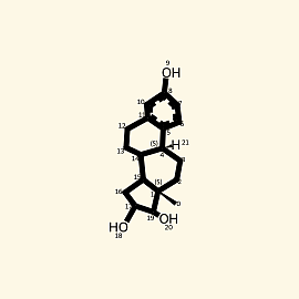 C[C@]12CC[C@@H]3c4ccc(O)cc4CCC3C1CC(O)C2O